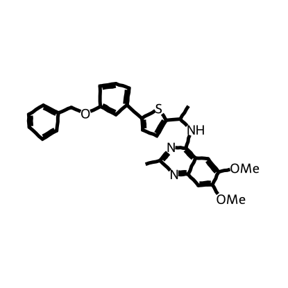 COc1cc2nc(C)nc(NC(C)c3ccc(-c4cccc(OCc5ccccc5)c4)s3)c2cc1OC